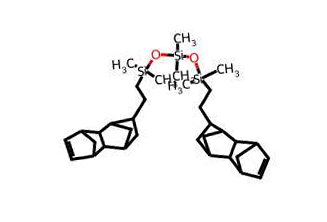 C[Si](C)(CCC1CC2CC1C1C3C=CC(C3)C21)O[Si](C)(C)O[Si](C)(C)CCC1CC2CC1C1C3C=CC(C3)C21